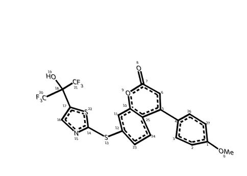 COc1ccc(-c2cc(=O)oc3cc(Sc4ncc(C(O)(C(F)(F)F)C(F)(F)F)s4)ccc23)cc1